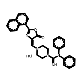 Cl.N=C(N1CCN(/C=C2/N=C(c3cccc4ccccc34)OC2=O)CC1)N(c1ccccc1)c1ccccc1